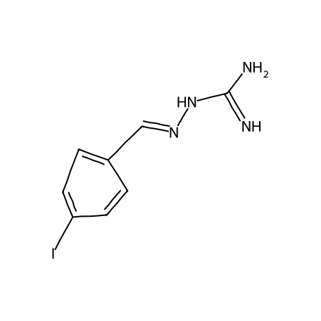 N=C(N)NN=Cc1ccc(I)cc1